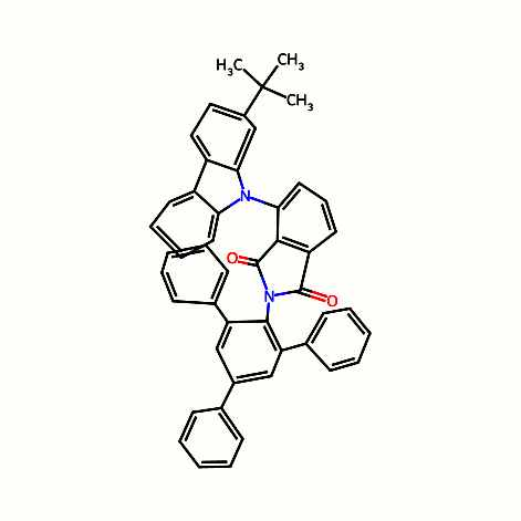 CC(C)(C)c1ccc2c3ccccc3n(-c3cccc4c3C(=O)N(c3c(-c5ccccc5)cc(-c5ccccc5)cc3-c3ccccc3)C4=O)c2c1